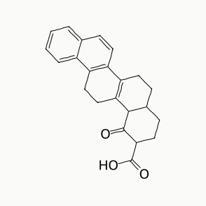 O=C(O)C1CCC2CCC3=C(CCc4c3ccc3ccccc43)C2C1=O